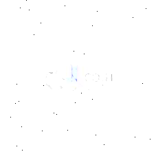 CC(C)(Nc1ccccc1)C(=O)O